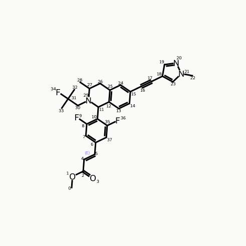 COC(=O)/C=C/c1cc(F)c(C2c3ccc(C#Cc4cnn(C)c4)cc3CC(C)N2CC(C)(C)F)c(F)c1